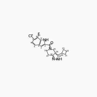 O=C(c1cc2ccc(Cl)c(F)c2[nH]1)N1CCc2n[nH]c(C3CCC3)c2C1